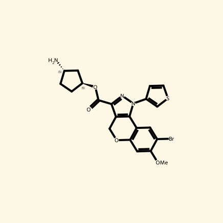 COc1cc2c(cc1Br)-c1c(c(C(=O)O[C@H]3CC[C@H](N)C3)nn1-c1ccsc1)CO2